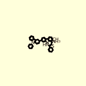 CNCc1sc2c(c1Nn1c3ccccc3c3ccc(C4C=Cc5c(c6ccccc6n5C5=CCCC=C5)C4)cc31)C=CCC2